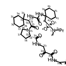 CC(C)N(C)S(=O)(=O)CC1(NC(=O)N[C@H](C(=O)N2CCC[C@H]2C(=O)NCC(=O)C(=O)NC2CC2)C2(C)CCCCC2)CCCCC1